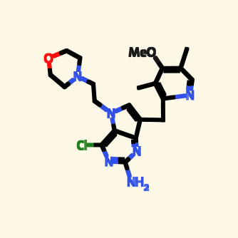 COc1c(C)cnc(Cc2cn(CCN3CCOCC3)c3c(Cl)nc(N)nc23)c1C